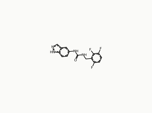 O=C(NCc1c(F)ccc(F)c1F)Nc1ccc2[nH]ncc2c1